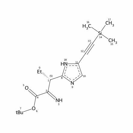 CC[C@@H](C(=N)C(=O)OC(C)(C)C)c1ncc(C#C[Si](C)(C)C)[nH]1